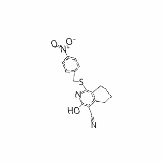 N#Cc1c(O)nc(SCc2ccc([N+](=O)[O-])cc2)c2c1CCCC2